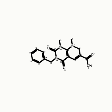 CN1CC(C(=O)O)=Cc2c1n(C)c(=O)n(Cc1ccccc1)c2=O